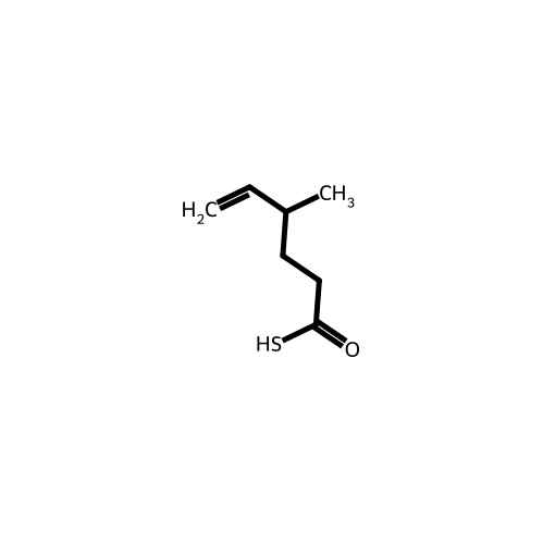 C=CC(C)CCC(=O)S